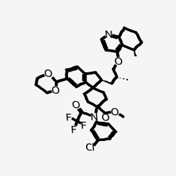 COC(=O)C1(N(C(=O)C(F)(F)F)c2cccc(Cl)c2)CCC2(CC1)c1cc(C3OCCCO3)ccc1C[C@H]2C[C@@H](C)COc1ccnc2c1[C@H](C)CCC2